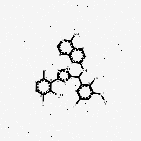 CCOc1cc(CC)cc(C(Nc2ccc3c(N)nccc3c2)c2nc(-c3c(C)ccc(F)c3C(=O)O)c[nH]2)c1F